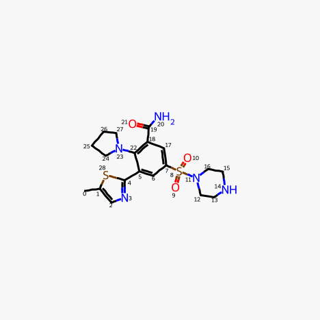 Cc1cnc(-c2cc(S(=O)(=O)N3CCNCC3)cc(C(N)=O)c2N2CCCC2)s1